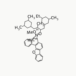 CCC1CC(C)CC(CC(O[N+]2(OC)C3[n+]4ccccc4-c4c(ccc5c4oc4ccccc45)C32C)[C@H](C)CC2CC(C)CC(C)C2)C1